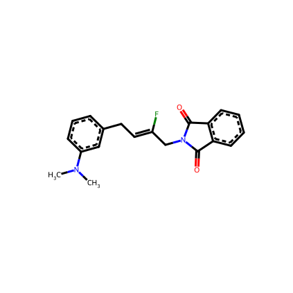 CN(C)c1cccc(CC=C(F)CN2C(=O)c3ccccc3C2=O)c1